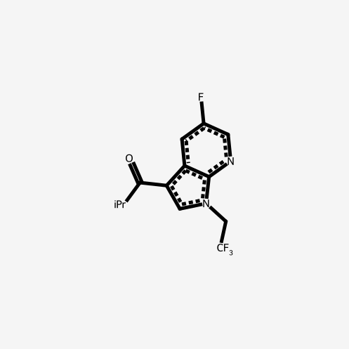 CC(C)C(=O)c1cn(CC(F)(F)F)c2ncc(F)cc12